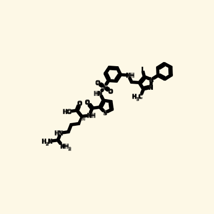 Cc1nn(-c2ccccc2)c(I)c1CNc1cccc(S(=O)(=O)Nc2ccsc2C(=O)N[C@@H](CCCNC(N)N)C(=O)O)c1